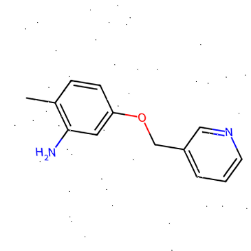 Cc1ccc(OCc2cccnc2)cc1N